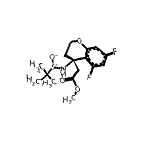 COC(=O)C[C@@]1(N[S@+]([O-])C(C)(C)C)CCOc2cc(F)cc(F)c21